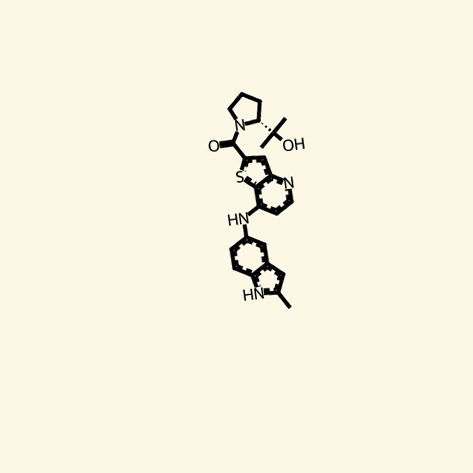 Cc1cc2cc(Nc3ccnc4cc(C(=O)N5CCC[C@@H]5C(C)(C)O)sc34)ccc2[nH]1